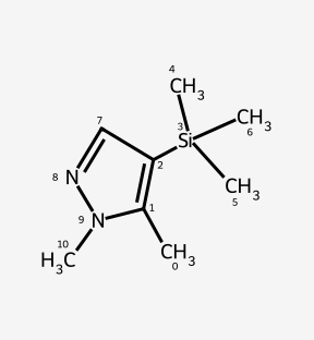 Cc1c([Si](C)(C)C)cnn1C